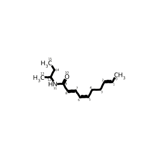 C/C=C/CC/C=C\C=C\C(=O)NC(C)CC